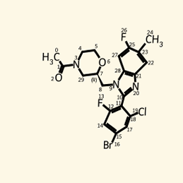 CC(=O)N1CCO[C@@H](Cn2c(-c3c(F)cc(Br)cc3Cl)nc3cc(C)c(F)cc32)C1